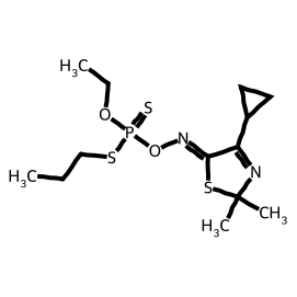 CCCSP(=S)(OCC)ON=C1SC(C)(C)N=C1C1CC1